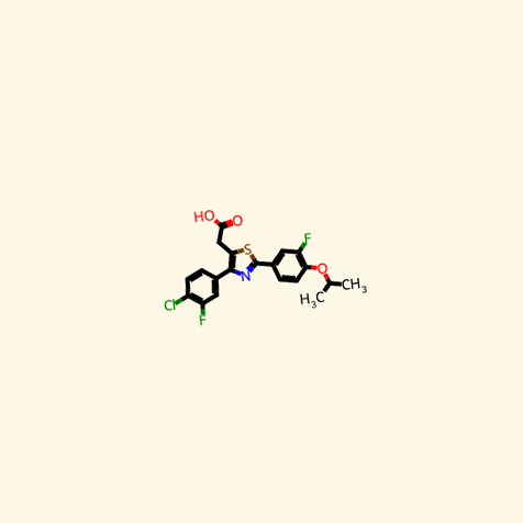 CC(C)Oc1ccc(-c2nc(-c3ccc(Cl)c(F)c3)c(CC(=O)O)s2)cc1F